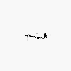 CNCCNC(=O)CCCCCNC(=O)CCCCC1SCC2NC(=O)NC21